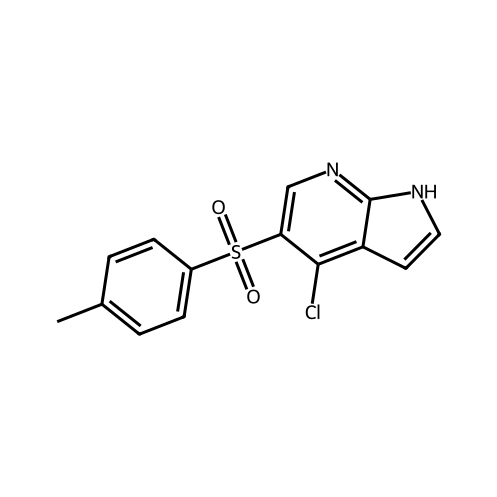 Cc1ccc(S(=O)(=O)c2cnc3[nH]ccc3c2Cl)cc1